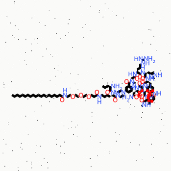 CCCCCCCCCCCCCCCCCCCC(=O)NCCOCCOCCOCCC(=O)NCCCC[C@H](NC(=O)[C@@H](N)[C@@H](C)CC)C(=O)N1CCN(c2ccc3ncn(CC(=O)N[C@@H](CCCNC(=N)N)C(=O)N[C@@H](Cc4c[nH]cn4)C(=O)N[C@@H](Cc4ccc(O)cc4)C(=O)N[C@@H](CC(C)C)C(=O)N[C@@H](CC(N)=O)C(=O)N[C@@H](Cc4c[nH]c5ccccc45)C(=O)N[C@H](C(=O)NC)C(C)C)c(=O)c3c2)CC1